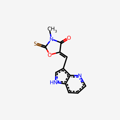 CN1C(=O)/C(=C/c2c[nH]c3cccnc23)OC1=S